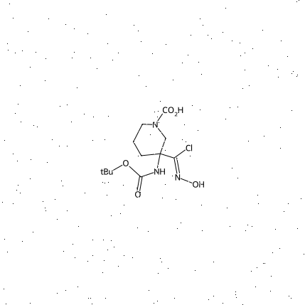 CC(C)(C)OC(=O)NC1(C(Cl)=NO)CCCN(C(=O)O)C1